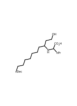 CCCCCCCCCCCCCCCCCC(CCO)NC(CCC)C(=O)O